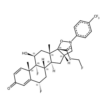 C[C@]12C=CC(=O)C=C1[C@@H](F)C[C@H]1[C@@H]3C[C@H]4CN(c5ccc(C(F)(F)F)cc5)O[C@@]4(C(=O)SCF)[C@@]3(C)C[C@H](O)[C@@]12F